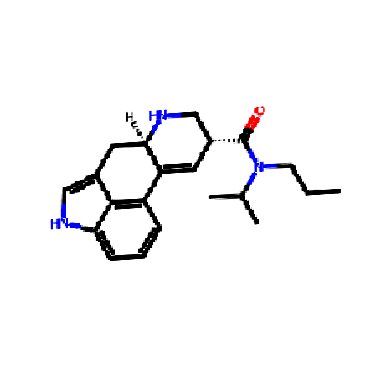 CCCN(C(=O)[C@@H]1C=C2c3cccc4[nH]cc(c34)C[C@H]2NC1)C(C)C